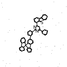 c1ccc(-c2cc(-c3cccc4c3sc3ccccc34)nc(-c3cccc(-c4ccc5c(c4)C4(c6ccccc6-c6ccccc64)c4ccccc4-5)c3)n2)cc1